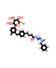 CS[C@H]1O[C@@H](c2ccc(C)c(Cc3ccc(CCCC(=O)NCCN(C)Cc4ccccc4)cc3)c2)[C@H](O)[C@@H](O)[C@@H]1O